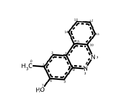 Cc1cc2c(cc1O)nnc1ccccc12